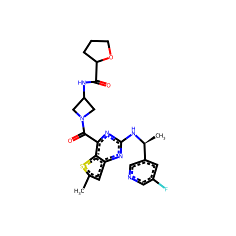 Cc1cc2nc(N[C@@H](C)c3cncc(F)c3)nc(C(=O)N3CC(NC(=O)C4CCCO4)C3)c2s1